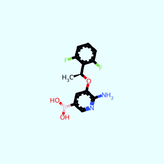 C[C@H](Oc1cc(B(O)O)cnc1N)c1c(F)cccc1F